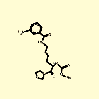 CC(C)(C)OC(=O)NC(CCCCNC(=O)c1cccc(N)c1)C(=O)N1CCSC1